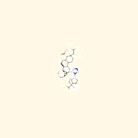 CC(C)[C@@H](C)[C@@]1(C)CC[C@]2(C)[C@H]3CC[C@@H]4[C@@]5(COC[C@]4(C)[C@@H](OC[C@](C)(N)C(C)C)[C@H](n4ncnc4N4CCCC4)C5)C3=CC[C@@]2(C)[C@@H]1C(=O)O